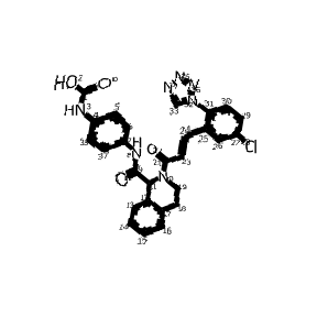 O=C(O)Nc1ccc(NC(=O)C2c3ccccc3CCN2C(=O)C=Cc2cc(Cl)ccc2-n2cnnn2)cc1